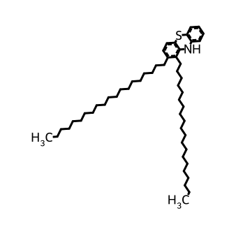 CCCCCCCCCCCCCCCCCCCCc1ccc2c(c1CCCCCCCCCCCCCCCCCCCC)Nc1ccccc1S2